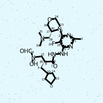 Cc1nc(NNC(=O)[C@H](CC2CCCC2)CN(O)C=O)c(F)c(N2CCOC[C@H]2CN(C)C)n1